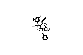 C#CCC[C@@H](C(=O)N1C(=O)OC[C@@H]1Cc1ccccc1)[C@H](O)c1cncc(F)c1